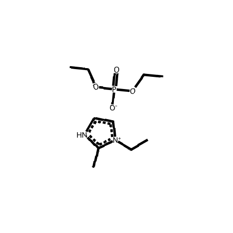 CCOP(=O)([O-])OCC.CC[n+]1cc[nH]c1C